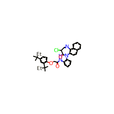 CCC(C)(C)c1ccc(OCC(=O)Nc2ccccc2N2C(=O)C(Cl)C=Nc3c2ccc2ccccc32)c(C(C)(C)CC)c1